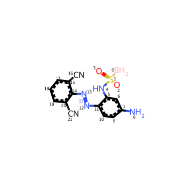 BS(=O)(=O)Nc1cc(N)ccc1/N=N/c1c(C#N)cccc1C#N